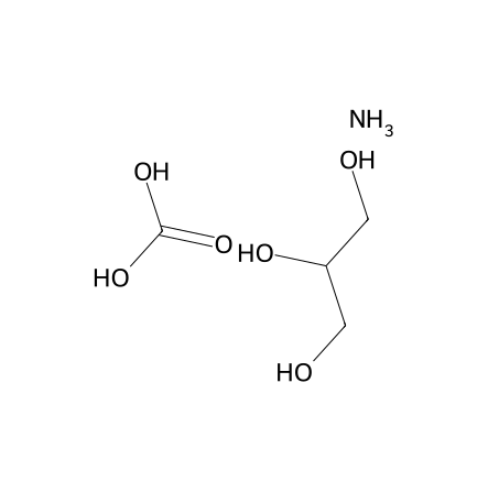 N.O=C(O)O.OCC(O)CO